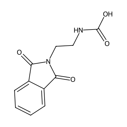 O=C(O)NCCN1C(=O)c2ccccc2C1=O